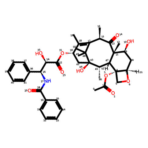 CC(=O)O[C@@]12CO[C@@H]1C[C@H](O)[C@@]1(C)C(=O)[C@H](C)C3=C(C)[C@@H](OC(=O)[C@H](O)[C@@H](NC(=O)c4ccccc4)c4ccccc4)C[C@@](O)([C@@H](C)[C@H]21)C3(C)C